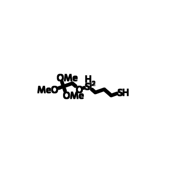 COC(CO[SiH2]CCCS)(OC)OC